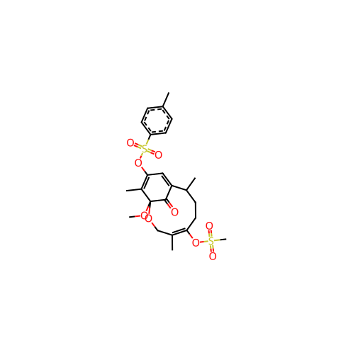 COC12OC/C(C)=C(/OS(C)(=O)=O)CCC(C)C(=CC(OS(=O)(=O)c3ccc(C)cc3)=C1C)C2=O